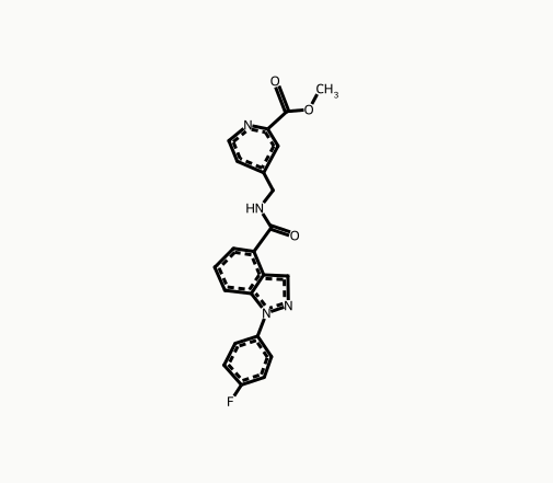 COC(=O)c1cc(CNC(=O)c2cccc3c2cnn3-c2ccc(F)cc2)ccn1